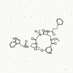 CN1C[C@H](NC(=O)CCc2ccccc2)C(=O)N(C)CC(=O)N2C[C@@H](NC(=O)Cc3c[nH]c4ccccc34)C[C@H]2COc2cncc(c2)C1=O